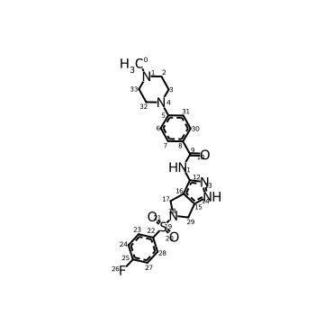 CN1CCN(c2ccc(C(=O)Nc3n[nH]c4c3CN(S(=O)(=O)c3ccc(F)cc3)C4)cc2)CC1